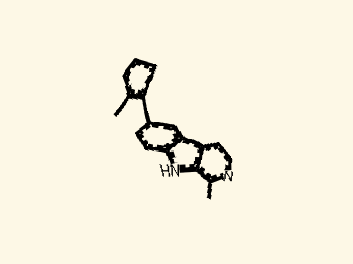 Cc1ccccc1-c1ccc2[nH]c3c(C)nccc3c2c1